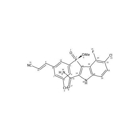 CO[P@](=O)(c1cc(C)cc(C=CC#N)c1)c1c(C(N)=O)[nH]c2ccc(Cl)c(F)c12